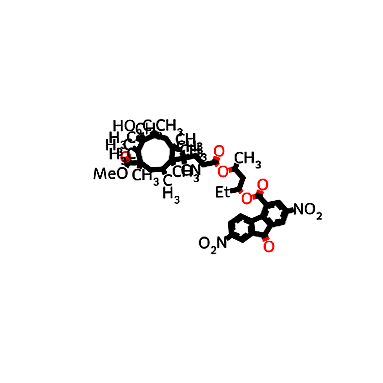 CCC(CC(C)OC(=O)CCC(C)(C#N)C1(C)C(C)CC(C)(C(=O)OC)C(C)(C)C(C)(C)C(C)(C(=O)O)CC1(C)C)OC(=O)c1cc([N+](=O)[O-])cc2c1-c1ccc([N+](=O)[O-])cc1C2=O